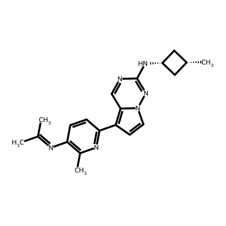 CC(C)=Nc1ccc(-c2ccn3nc(N[C@H]4C[C@@H](C)C4)ncc23)nc1C